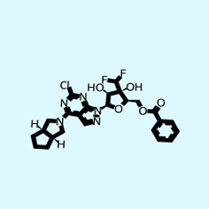 O=C(OC[C@H]1O[C@@H](n2ncc3c(N4C[C@H]5CCC[C@H]5C4)nc(Cl)nc32)[C@H](O)[C@@]1(O)C(F)F)c1ccccc1